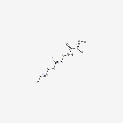 C/C=C/CC/C(C)=C/CNC(=O)/C(C)=C/C